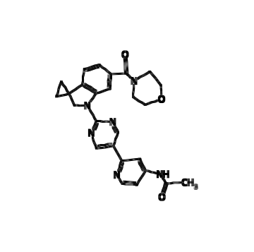 CC(=O)Nc1ccnc(-c2cnc(N3CC4(CC4)c4ccc(C(=O)N5CCOCC5)cc43)nc2)c1